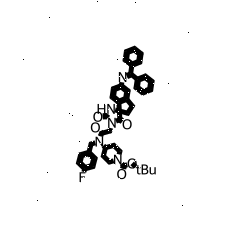 CC(C)(C)OC(=O)N1CCC(N(Cc2ccc(F)cc2)C(=O)CN2C(=O)NC3(CCc4cc(N=C(c5ccccc5)c5ccccc5)ccc43)C2=O)CC1